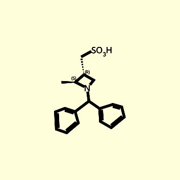 C[C@H]1[C@H](CS(=O)(=O)O)CN1C(c1ccccc1)c1ccccc1